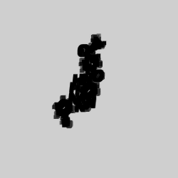 C#Cc1cccc(Nc2ncnc3ccc(NC(=O)N4CCN(C(=O)C5CC5)CC4)cc23)c1